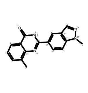 Cc1cccc2c(=O)[nH]c(-c3ccc4c(cnn4C)c3)nc12